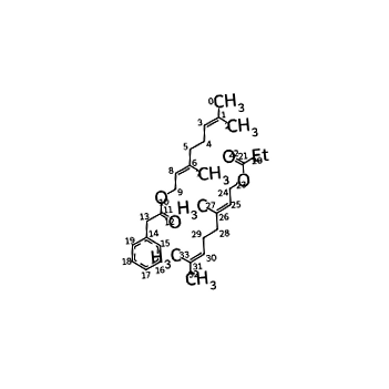 CC(C)=CCC/C(C)=C/COC(=O)Cc1ccccc1.CCC(=O)OC/C=C(\C)CCC=C(C)C